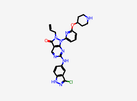 C=CCn1c(=O)c2cnc(Nc3ccc4[nH]nc(Cl)c4c3)nc2n1-c1cccc(OC2CCNCC2)n1